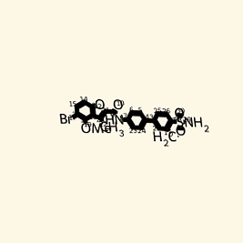 [CH2]c1cc(-c2ccc(NC(=O)c3oc4ccc(Br)c(OC)c4c3C)cc2)ccc1S(N)(=O)=O